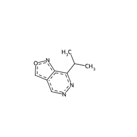 CC(C)c1nncc2conc12